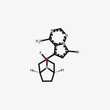 Nc1ncnn2c(Br)cc(CN3[C@@H]4CC[C@H]3CC(F)(F)C4)c12